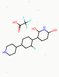 O=C(O)C(F)(F)F.OC1CCC(C2CCC(C3CCNCC3)CC2F)C(O)N1